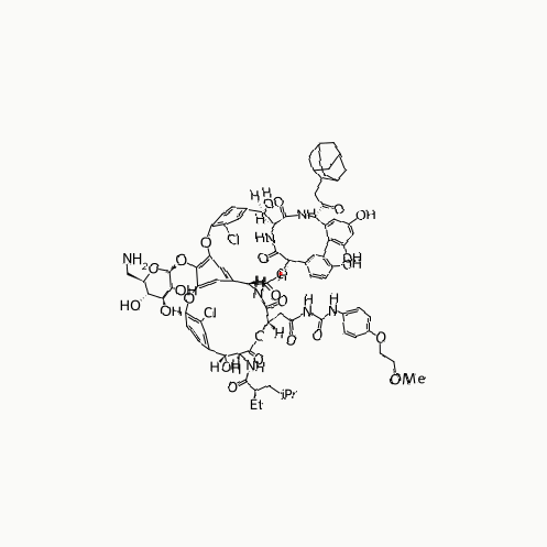 CC[C@H](CC(C)C)C(=O)N[C@H]1C(=O)C[C@@H](CC(=O)NC(=O)Nc2ccc(OCCOC)cc2)C(=O)N[C@H]2C(=O)C[C@H]3C(=O)N[C@H](C(=O)N[C@H](C(=O)CC4C5CC6CC(C5)CC4C6)c4cc(O)cc(O)c4-c4cc3ccc4O)[C@H](O)c3ccc(c(Cl)c3)Oc3cc2cc(c3O[C@@H]2O[C@H](CN)[C@@H](O)[C@H](O)[C@H]2O)Oc2ccc(cc2Cl)[C@H]1O